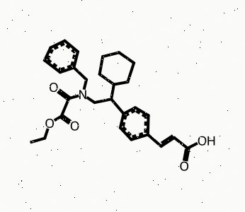 CCOC(=O)C(=O)N(Cc1ccccc1)CC(c1ccc(/C=C/C(=O)O)cc1)C1CCCCC1